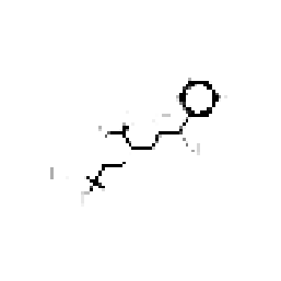 CC(C)(F)CC[C@H](C[C@H](O)[C@@H](N)c1ccccc1)C(N)=O